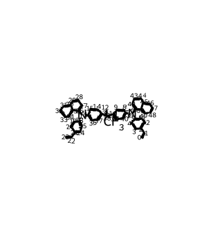 C=Cc1ccc(N(c2ccc(C(C)(c3ccc(N(c4ccc(C=C)cc4)c4cccc5ccccc45)cc3)C(F)(F)F)cc2)c2cccc3ccccc23)cc1